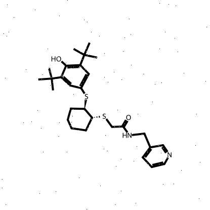 CC(C)(C)c1cc(S[C@@H]2CCCC[C@H]2SCC(=O)NCc2cccnc2)cc(C(C)(C)C)c1O